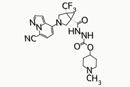 CN1CCC(OC(=O)NNC(=O)[C@]23CN(c4ccc(C#N)n5nccc45)C[C@@]2(C(F)(F)F)C3)CC1